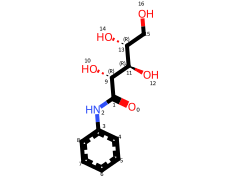 O=C(Nc1ccccc1)[C@H](O)[C@H](O)[C@H](O)CO